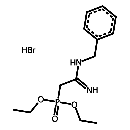 Br.CCOP(=O)(CC(=N)NCc1ccccc1)OCC